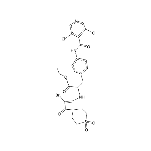 CCOC(=O)[C@H](Cc1ccc(NC(=O)c2c(Cl)cncc2Cl)cc1)NC1=C(Br)C(=O)C12CCS(=O)(=O)CC2